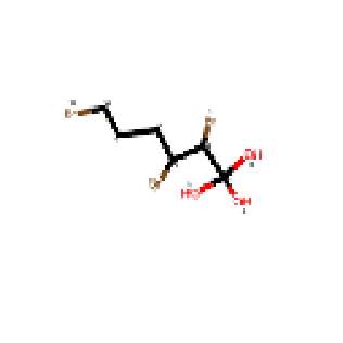 OC(O)(O)C(Br)C(Br)CCCBr